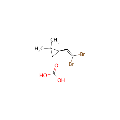 CC1(C)C[C@@H]1C=C(Br)Br.O=C(O)O